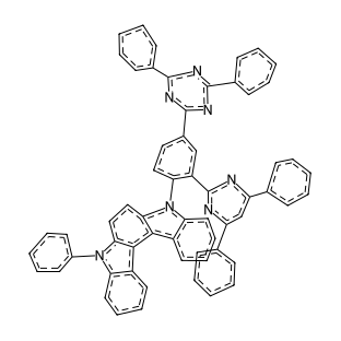 c1ccc(-c2cc(-c3ccccc3)nc(-c3cc(-c4nc(-c5ccccc5)nc(-c5ccccc5)n4)ccc3-n3c4ccccc4c4c5c6ccccc6n(-c6ccccc6)c5ccc43)n2)cc1